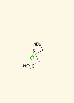 CCCCCC[CH]C(=O)O.[Cl][K]